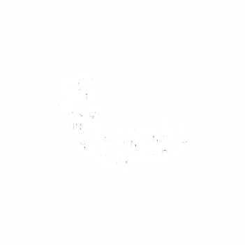 C[C@]1(N2CCN(c3cc4cc(NC(=O)[C@H]5C[C@@]56CC6(F)F)ncc4cc3Cl)CC2)COC[C@H]1O